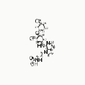 O=C(O)NCCCn1ccc2ncnc(Nc3ccc(Oc4cccc(Cl)c4)c(Cl)c3)c21